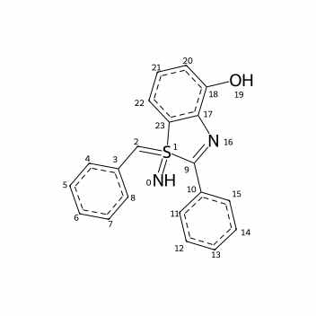 N=S1(=Cc2ccccc2)C(c2ccccc2)=Nc2c(O)cccc21